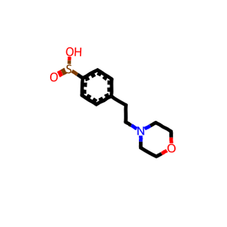 O=S(O)c1ccc(CCN2CCOCC2)cc1